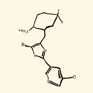 O=C(O)C1CCC(F)(F)CC1c1nc(-c2cncc(Cl)c2)sc1Br